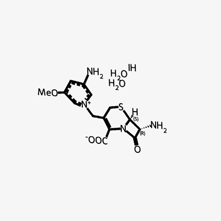 COc1cc(N)c[n+](CC2=C(C(=O)[O-])N3C(=O)[C@@H](N)[C@@H]3SC2)c1.I.O.O